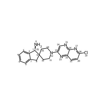 N[C@@H]1c2ccccc2CC12CCN(c1cnc3nc(Cl)ccc3n1)CC2